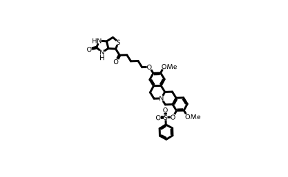 COc1cc2c(cc1OCCCCC(=O)C1SCC3NC(=O)NC31)CCN1Cc3c(ccc(OC)c3OS(=O)(=O)c3ccccc3)CC21